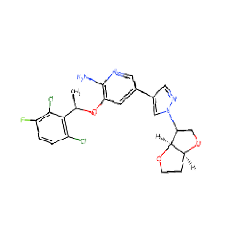 C[C@@H](Oc1cc(-c2cnn(C3CO[C@H]4CCO[C@@H]34)c2)cnc1N)c1c(Cl)ccc(F)c1Cl